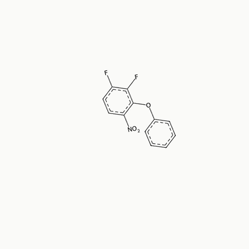 O=[N+]([O-])c1ccc(F)c(F)c1Oc1ccccc1